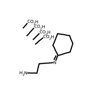 CC(=O)O.CC(=O)O.CC(=O)O.CC(=O)O.NCCN=C1CCCCC1